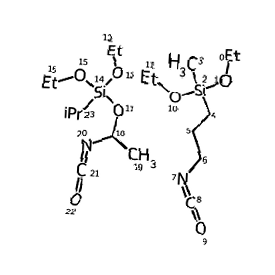 CCO[Si](C)(CCCN=C=O)OCC.CCO[Si](OCC)(OC(C)N=C=O)C(C)C